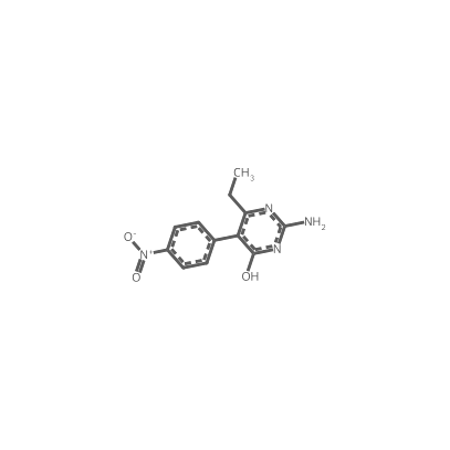 CCc1nc(N)nc(O)c1-c1ccc([N+](=O)[O-])cc1